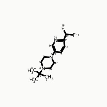 CC(C)(C)N1CCN(c2ccc(C(F)F)nc2)CC1